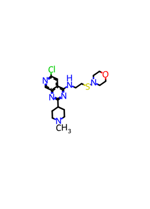 CN1CCC(c2nc(NCCSN3CCOCC3)c3cc(Cl)ncc3n2)CC1